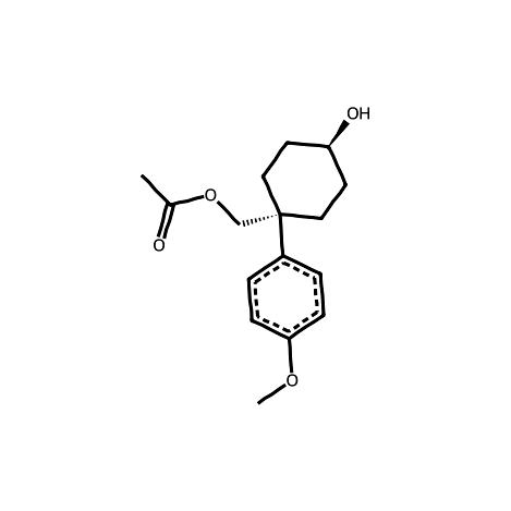 COc1ccc([C@]2(COC(C)=O)CC[C@H](O)CC2)cc1